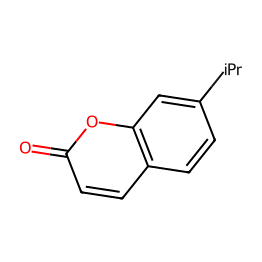 CC(C)c1ccc2ccc(=O)oc2c1